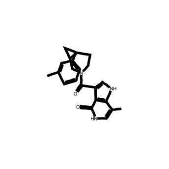 Cc1cccc(C23CCN(C(=O)c4c[nH]c5c(C)c[nH]c(=O)c45)CC2C3)c1